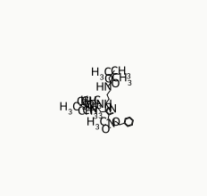 CN/C(Cc1c([C@H](C)N(C=O)OCc2ccccc2)cnn1CCCCNC(=O)OC(C)(C)C)=N\O[Si](C)(C)C(C)(C)C